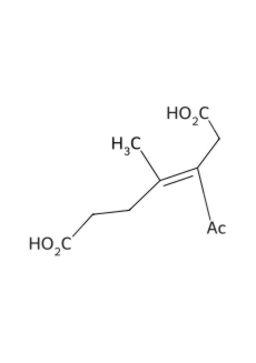 CC(=O)C(CC(=O)O)=C(C)CCC(=O)O